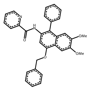 COc1cc2c(OCc3ccccc3)cc(NC(=O)c3ccccn3)c(-c3ccccc3)c2cc1OC